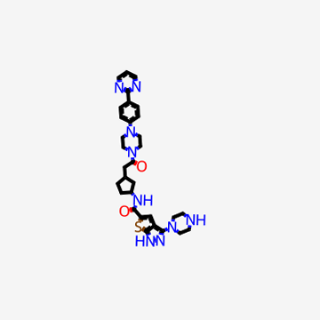 O=C(NC1CCC(CC(=O)N2CCN(c3ccc(-c4ncccn4)cc3)CC2)C1)c1cc2c(N3CCNCC3)n[nH]c2s1